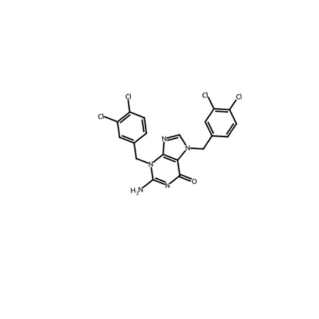 Nc1nc(=O)c2c(ncn2Cc2ccc(Cl)c(Cl)c2)n1Cc1ccc(Cl)c(Cl)c1